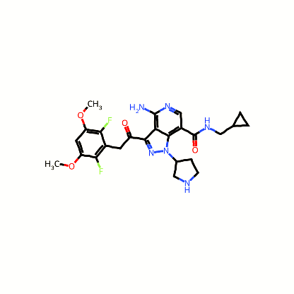 COc1cc(OC)c(F)c(CC(=O)c2nn(C3CCNC3)c3c(C(=O)NCC4CC4)cnc(N)c23)c1F